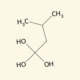 CC(C)CC(O)(O)O